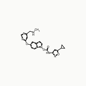 CNCc1cc(Oc2ccc3c(ccn3OC(=O)Nc3cc(C4CC4)on3)c2)ncn1